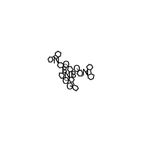 c1cc2c3c(c1)B1c4ccc(-n5c6ccccc6c6ccccc65)cc4Oc4cc5c6c(c41)N3c1c(cc3c(oc4ccccc43)c1O2)B6c1ccc(-n2c3ccccc3c3ccccc32)cc1O5